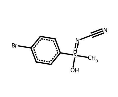 C[SH](O)(=NC#N)c1ccc(Br)cc1